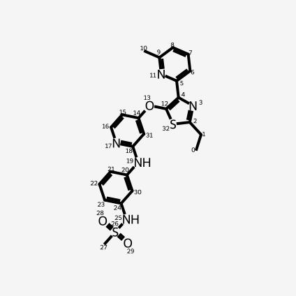 CCc1nc(-c2cccc(C)n2)c(Oc2ccnc(Nc3cccc(NS(C)(=O)=O)c3)c2)s1